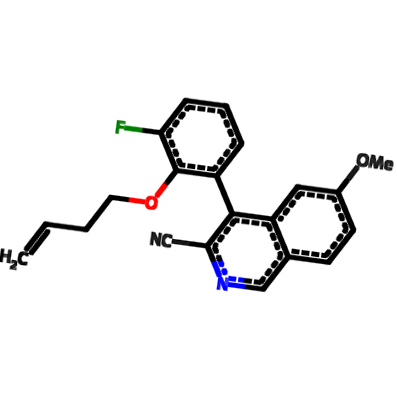 C=CCCOc1c(F)cccc1-c1c(C#N)ncc2ccc(OC)cc12